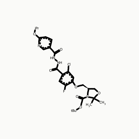 CC(C)Oc1ccc(C(=O)NNC(=O)c2cc(F)c(OC[C@H]3COC(C)(C)N3C(=O)OC(C)(C)C)cc2Cl)cn1